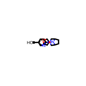 C#Cc1ccc(N2CC3CCC(C2)N3[C@H]2CCOC2)nc1